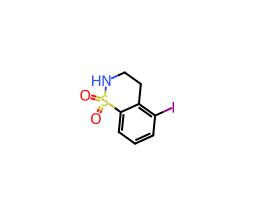 O=S1(=O)NCCc2c(I)cccc21